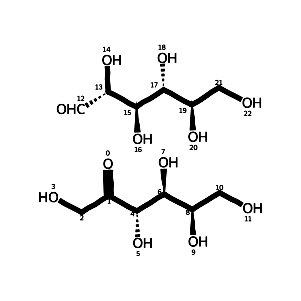 O=C(CO)[C@@H](O)[C@@H](O)[C@H](O)CO.O=C[C@H](O)[C@H](O)[C@H](O)[C@H](O)CO